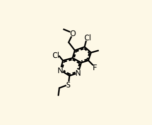 CCSc1nc(Cl)c2c(COC)c(Cl)c(C)c(F)c2n1